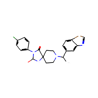 CC(c1ccc2scnc2c1)N1CCC2(CC1)NC(O)N(c1ccc(Cl)cc1)C2=O